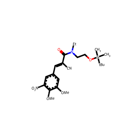 CCN(CCO[Si](C)(C)C(C)(C)C)C(=O)/C(C#N)=C/c1cc(OC)c(OC)c([N+](=O)[O-])c1